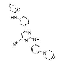 C=CC(=O)Nc1cccc(-c2cc(C#N)nc(Nc3cccc(N4CCOCC4)c3)n2)c1